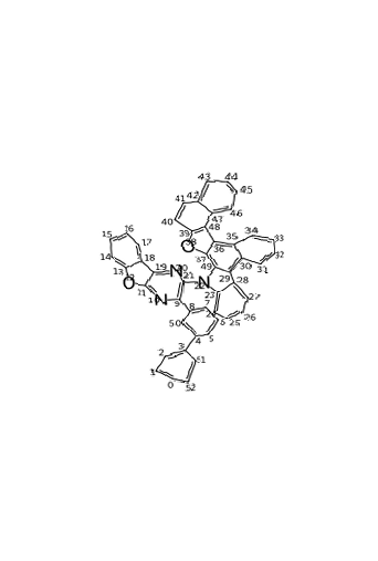 c1ccc(-c2cccc(-c3nc4oc5ccccc5c4nc3-n3c4ccccc4c4c5ccccc5c5c(oc6ccc7ccccc7c65)c43)c2)cc1